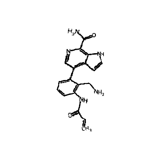 C=CC(=O)Nc1cccc(-c2cnc(C(N)=O)c3[nH]ccc23)c1CN